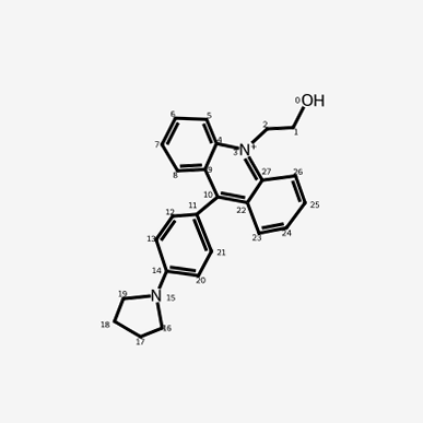 OCC[n+]1c2ccccc2c(-c2ccc(N3CCCC3)cc2)c2ccccc21